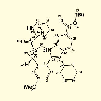 COc1ccc2c(c1)[C@@H]1C[C@]1(C(=O)N1CC3CCC1CN3)Cn1c-2c(C2CCCCC2)c2ccc(C(=O)OC(C)(C)C)cc21